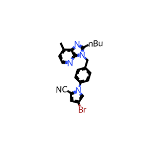 CCCCc1nc2c(C)ccnc2n1Cc1ccc(-n2cc(Br)cc2C#N)cc1